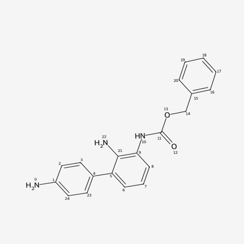 Nc1ccc(-c2cccc(NC(=O)OCc3ccccc3)c2N)cc1